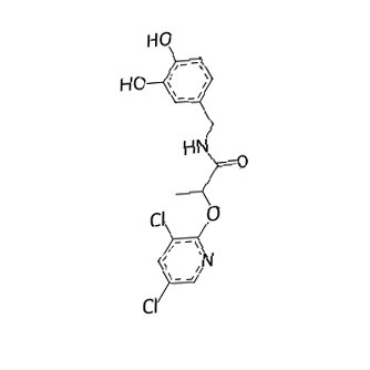 CC(Oc1ncc(Cl)cc1Cl)C(=O)NCc1ccc(O)c(O)c1